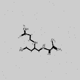 C=C(C)C(=O)NCC(CCO)NCCC(=O)O